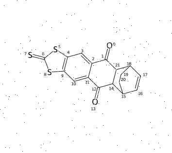 O=C1c2cc3sc(=S)sc3cc2C(=O)C2C3C=CC(CC3)C12